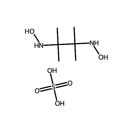 CC(C)(NO)C(C)(C)NO.O=S(=O)(O)O